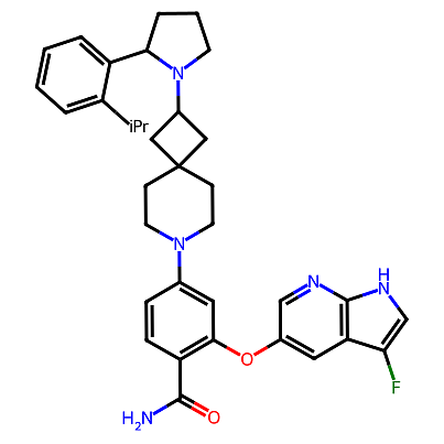 CC(C)c1ccccc1C1CCCN1C1CC2(CCN(c3ccc(C(N)=O)c(Oc4cnc5[nH]cc(F)c5c4)c3)CC2)C1